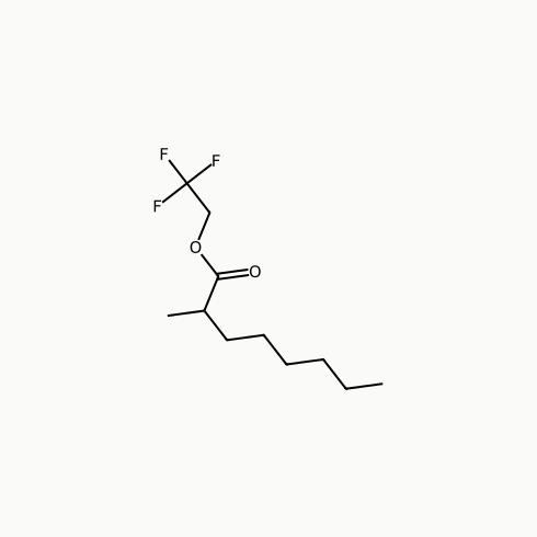 CCCCCCC(C)C(=O)OCC(F)(F)F